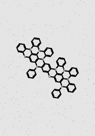 c1ccc(N2c3ccccc3B3c4ccccc4N4c5ccccc5B5c6cc7c(cc6Oc6cc2c3c4c65)N(c2ccccc2)c2cc3c4c5c2B7c2ccccc2N5c2ccccc2B4c2ccccc2S3)cc1